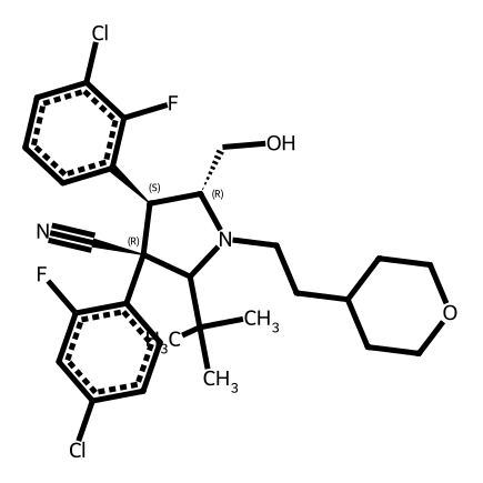 CC(C)(C)C1N(CCC2CCOCC2)[C@@H](CO)[C@H](c2cccc(Cl)c2F)[C@@]1(C#N)c1ccc(Cl)cc1F